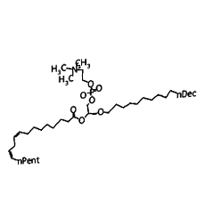 CCCCC/C=C\C/C=C\CCCCCCCC(=O)O[C@H](COCCCCCCCCCCCCCCCCCCCC)COP(=O)([O-])OCC[N+](C)(C)C